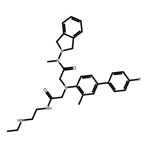 CCNCCNC(=O)CN(CC(=O)N(C)N1Cc2ccccc2C1)c1ccc(-c2ccc(F)cc2)cc1C